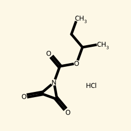 CCC(C)OC(=O)n1c(=O)c1=O.Cl